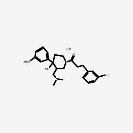 COc1cccc(C2(O)CCN(C(=O)CCc3cccc(C(F)(F)F)c3)CC2CN(C)C)c1.Cl